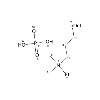 CCCCCCCCCCC[N+](C)(C)CC.O=P([O-])(O)O